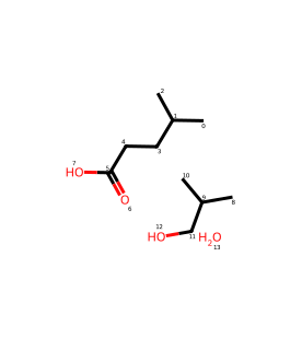 CC(C)CCC(=O)O.CC(C)CO.O